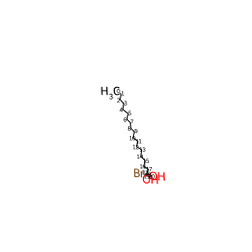 CCCCCCCCCCCCCCCCCCC(O)(O)Br